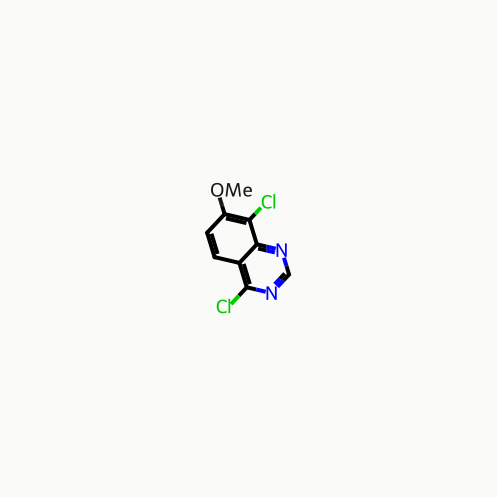 COc1ccc2c(Cl)ncnc2c1Cl